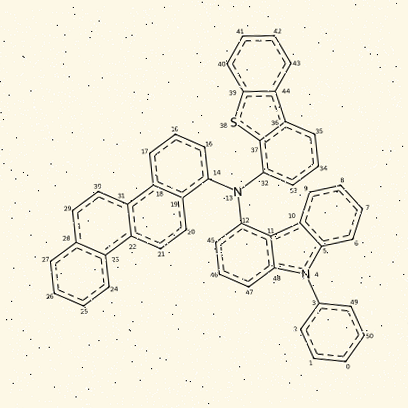 c1ccc(-n2c3ccccc3c3c(N(c4cccc5c4ccc4c6ccccc6ccc54)c4cccc5c4sc4ccccc45)cccc32)cc1